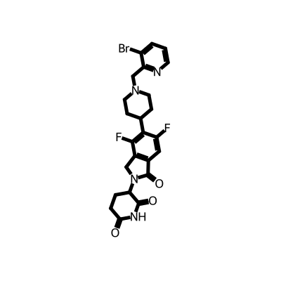 O=C1CCC(N2Cc3c(cc(F)c(C4CCN(Cc5ncccc5Br)CC4)c3F)C2=O)C(=O)N1